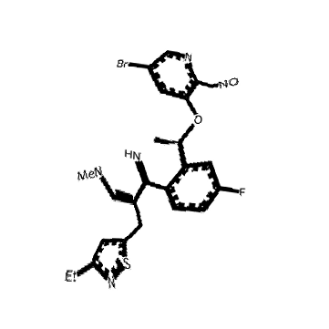 CCc1cc(C/C(=C/NC)C(=N)c2ccc(F)cc2[C@@H](C)Oc2cc(Br)cnc2N=O)sn1